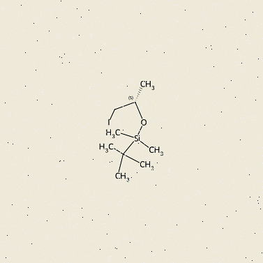 C[C@@H](CI)O[Si](C)(C)C(C)(C)C